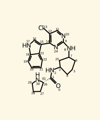 O=C(NC1CCCC(Nc2ncc(Cl)c(-c3c[nH]c4ccccc34)n2)C1)[C@@H]1CCCN1